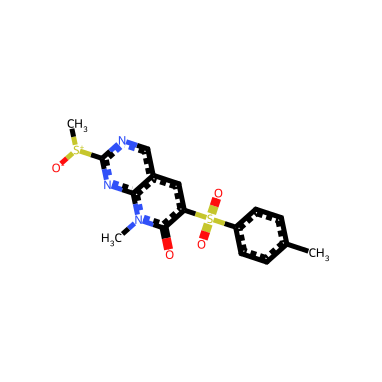 Cc1ccc(S(=O)(=O)c2cc3cnc([S+](C)[O-])nc3n(C)c2=O)cc1